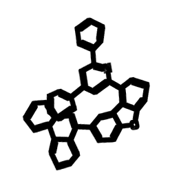 c1ccc(-c2cc(-c3ccccc3)nc(-c3cccc4oc5ccc(-c6cc7ccccc7c7ccccc67)cc5c34)c2)cc1